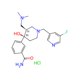 CN(C)C[C@H]1CN(Cc2cncc(F)c2)CC[C@]1(O)c1cccc(C(N)=O)c1.Cl